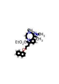 CCOC(=O)c1c(CCCOc2cccc3ccccc23)c2cccc3c2n1CCCN(C)Cc1nn(C)c(C)c1-3